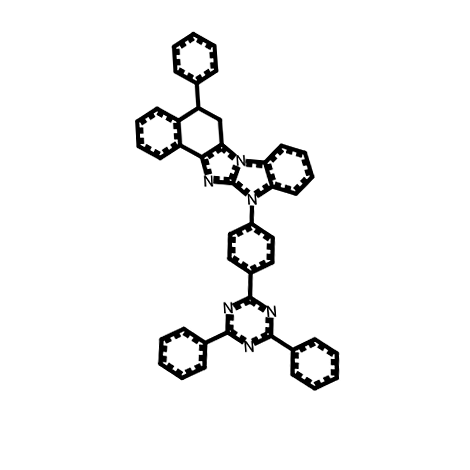 c1ccc(-c2nc(-c3ccccc3)nc(-c3ccc(-n4c5ccccc5n5c6c(nc45)-c4ccccc4C(c4ccccc4)C6)cc3)n2)cc1